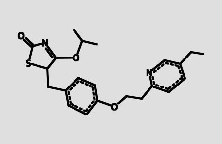 CCc1ccc(CCOc2ccc(CC3SC(=O)N=C3OC(C)C)cc2)nc1